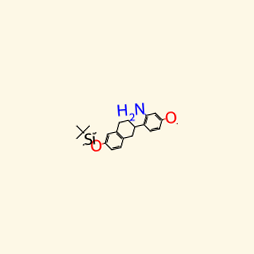 COc1ccc(C2CCc3cc(O[Si](C)(C)C(C)(C)C)ccc3C2)c(N)c1